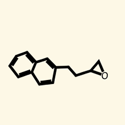 c1ccc2cc(CCC3CO3)ccc2c1